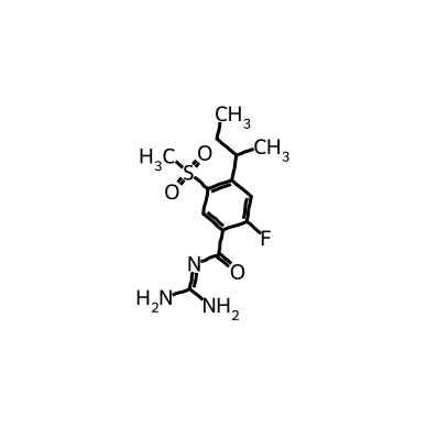 CCC(C)c1cc(F)c(C(=O)N=C(N)N)cc1S(C)(=O)=O